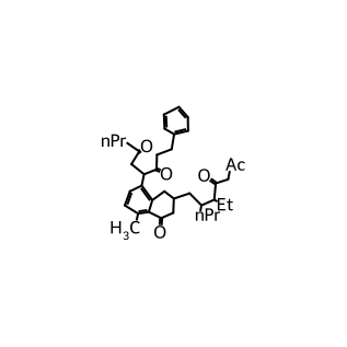 CCCC(=O)CC(C(=O)CCc1ccccc1)c1ccc(C)c2c1CC(CC(CCC)C(CC)C(=O)CC(C)=O)CC2=O